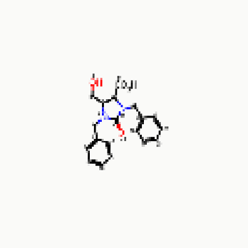 O=C(O)C1C(CO)N(Cc2ccccc2)C(=O)N1Cc1ccccc1